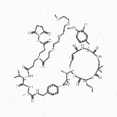 CCC[C@@H]1OC(=O)C(C)(C)CNC(=O)[C@@H](Cc2ccc(OC)c(Cl)c2)NC(=O)/C=C/C[C@@H]([C@H](C)[C@H]2O[C@@H]2c2ccc(CNC(=O)[C@H](C)NC(=O)[C@@H](NC(=O)CCN(CCC(=O)ON3C(=O)CCC3=O)C(=O)CCOCCOCCOCCOC)C(C)C)cc2)OC1=O